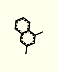 Cc1cc(I)c2ccccc2c1